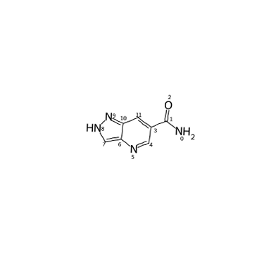 NC(=O)c1cnc2c[nH]nc2c1